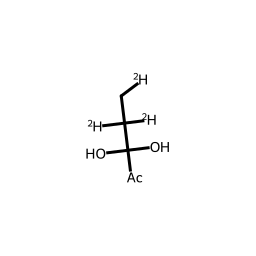 [2H]CC([2H])([2H])C(O)(O)C(C)=O